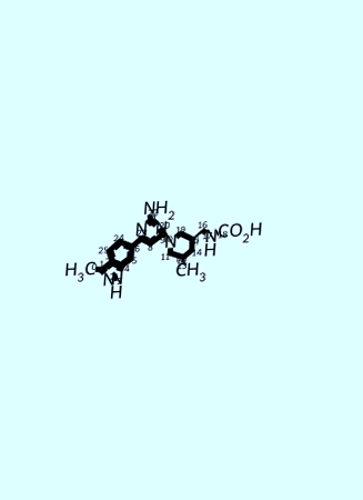 Cc1n[nH]c2cc(-c3cc(N4C[C@H](C)C[C@H](CNC(=O)O)C4)nc(N)n3)ccc12